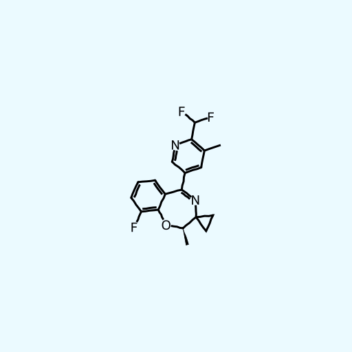 Cc1cc(C2=NC3(CC3)[C@@H](C)Oc3c(F)cccc32)cnc1C(F)F